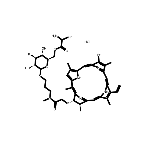 C=Cc1c(C)c2cc3nc(c(C)c4cc(C)c(cc5nc(cc1[nH]2)C(C)=C5CC)[nH]4)[C@@H](CCC(=O)N(C)CCCS[C@@H]1O[C@H](COC(=O)C(N)C(C)C)[C@@H](O)[C@H](O)[C@H]1O)[C@@H]3C.Cl